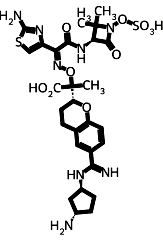 CC(O/N=C(\C(=O)N[C@@H]1C(=O)N(OS(=O)(=O)O)C1(C)C)c1csc(N)n1)(C(=O)O)[C@H]1CCc2cc(C(=N)N[C@H]3CC[C@H](N)C3)ccc2O1